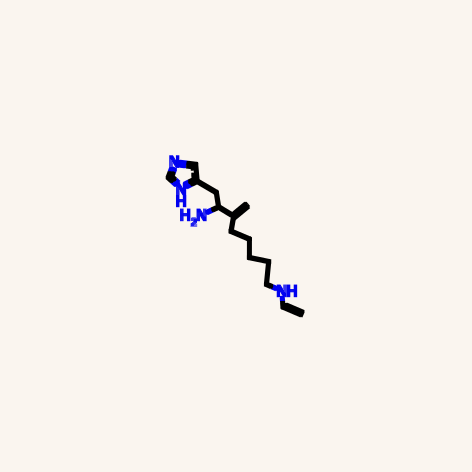 C=CNCCCCCC(=C)C(N)Cc1cnc[nH]1